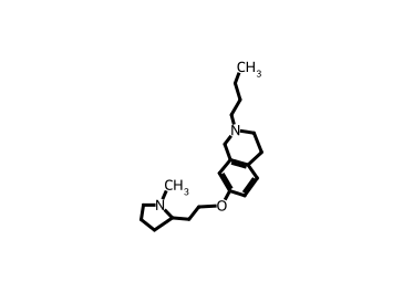 CCCCN1CCc2ccc(OCCC3CCCN3C)cc2C1